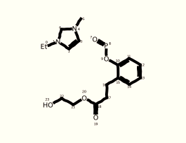 CCN1C=CN(C)C1.O=POc1ccccc1CCC(=O)OCCO